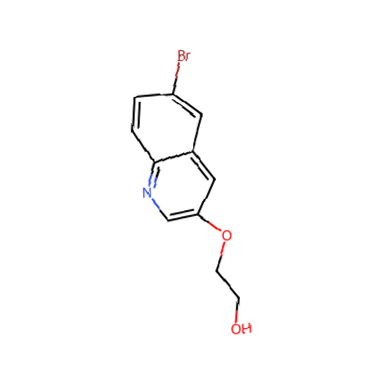 OCCOc1cnc2ccc(Br)cc2c1